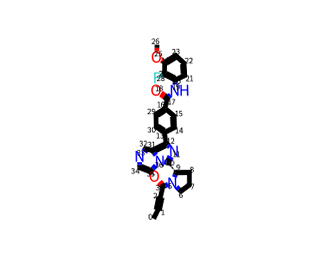 CC#CC(=O)N1CCC[C@H]1c1nc(-c2ccc(C(=O)Nc3cccc(OC)c3F)cc2)c2cnccn12